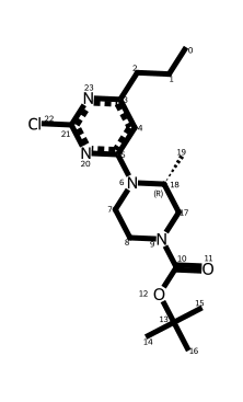 CCCc1cc(N2CCN(C(=O)OC(C)(C)C)C[C@H]2C)nc(Cl)n1